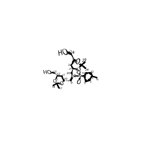 Cc1ccc(S(=O)(=O)N(C[C@H]2C[C@@H](CO)OC(C)(C)O2)C[C@H]2C[C@@H](CO)OC(C)(C)O2)cc1